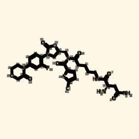 NC(=O)C[C@H](N)C(=O)NCCCCC(=O)N(C[C@H]1CN(c2ccc(N3CCOCC3=O)cc2F)C(=O)O1)C(=O)c1ccc(Cl)s1